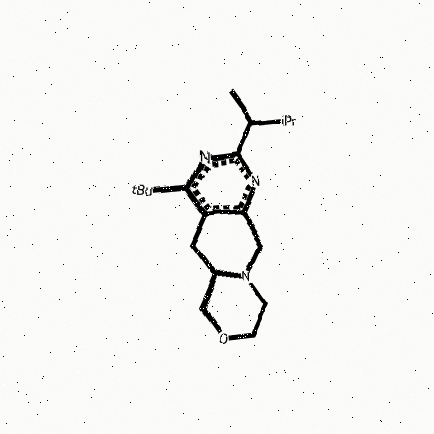 CC(C)C(C)c1nc2c(c(C(C)(C)C)n1)CC1COCCN1C2